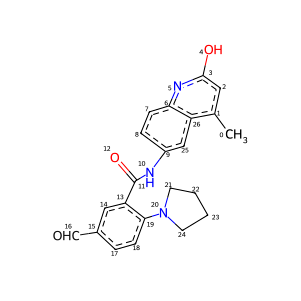 Cc1cc(O)nc2ccc(NC(=O)c3cc(C=O)ccc3N3CCCC3)cc12